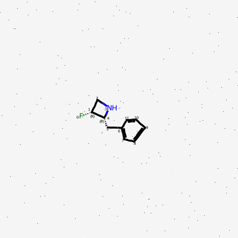 F[C@@H]1CN[C@@H]1Cc1ccccc1